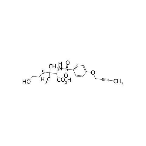 CC#CCOc1ccc(S(=O)(=O)N[C@H](C(=O)O)C(C)(C)SCCO)cc1